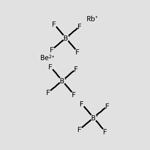 F[B-](F)(F)F.F[B-](F)(F)F.F[B-](F)(F)F.[Be+2].[Rb+]